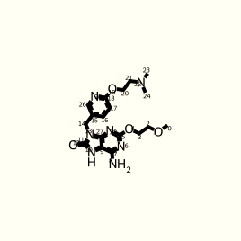 COCCOc1nc(N)c2[nH]c(=O)n(Cc3ccc(OCCN(C)C)nc3)c2n1